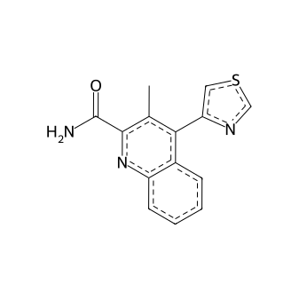 Cc1c(C(N)=O)nc2ccccc2c1-c1cscn1